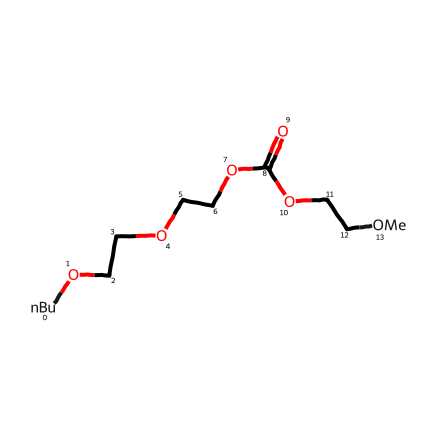 CCCCOCCOCCOC(=O)OCCOC